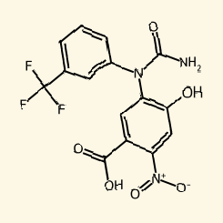 NC(=O)N(c1cccc(C(F)(F)F)c1)c1cc(C(=O)O)c([N+](=O)[O-])cc1O